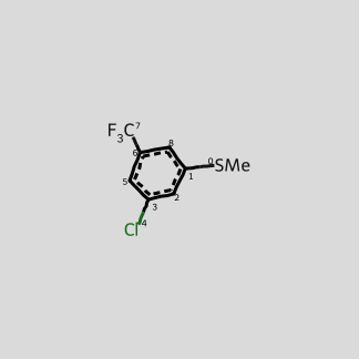 CSc1cc(Cl)cc(C(F)(F)F)c1